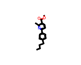 CCCCc1ccc(-c2ccc(C(=O)OC)c(C)n2)cc1